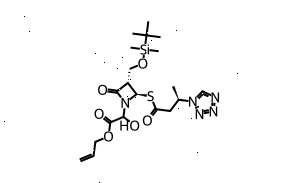 C=CCOC(=O)C(O)N1C(=O)[C@H](CO[Si](C)(C)C(C)(C)C)[C@H]1SC(=O)C[C@@H](C)n1cnnn1